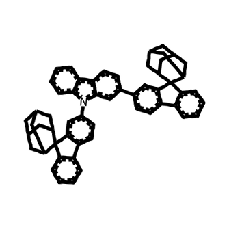 c1ccc2c(c1)-c1ccc(-c3ccc4c5ccccc5n(-c5ccc6c(c5)C5(c7ccccc7-6)C6CC7CC(C6)CC5C7)c4c3)cc1C21C2CC3CC(C2)CC1C3